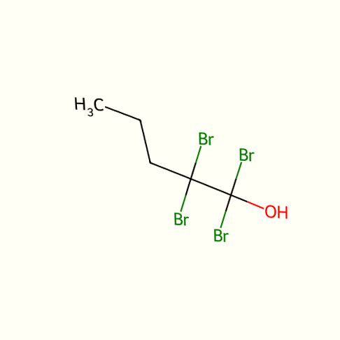 CCCC(Br)(Br)C(O)(Br)Br